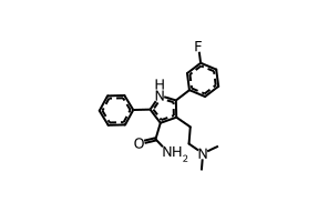 CN(C)CCc1c(-c2cccc(F)c2)[nH]c(-c2ccccc2)c1C(N)=O